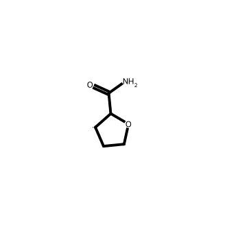 NC(=O)C1[CH]CCO1